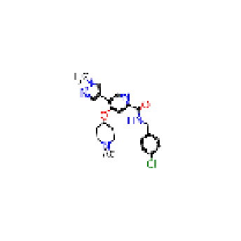 CC(=O)N1CCC(Oc2cc(C(=O)NCc3ccc(Cl)cc3)ncc2-c2cnn(C)c2)CC1